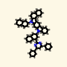 c1ccc(-c2cc(-c3ccccc3)nc(-c3cc(-n4c5ccccc5c5cc6c7c8ccccc8ccc7n(-c7ccc8ccccc8c7)c6cc54)cc4ccccc34)n2)cc1